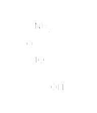 NC(=O)c1cccc([CH]CO)c1O